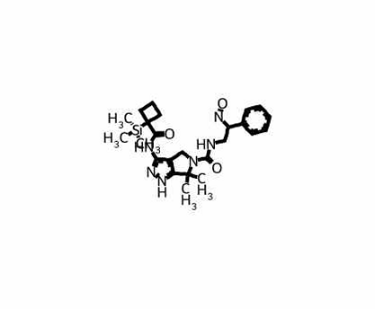 CC1(C)c2[nH]nc(NC(=O)C3([Si](C)(C)C)CCC3)c2CN1C(=O)NCC(N=O)c1ccccc1